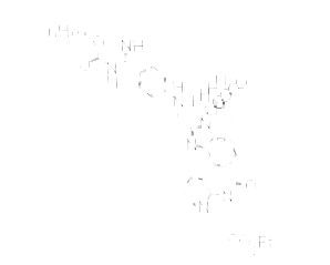 CCCCCCOC(=O)NC(=N)c1ccc(NCc2nc3cc(C(=O)N(CCC(=O)OCC)c4ccccn4)ccc3n2C)cc1.O.O.O.O